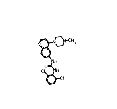 CN1CCN(c2ccnc3ccc(NC(=O)Nc4c(Cl)cccc4Cl)cc23)CC1